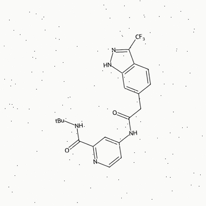 CC(C)(C)NC(=O)c1cc(NC(=O)Cc2ccc3c(C(F)(F)F)n[nH]c3c2)ccn1